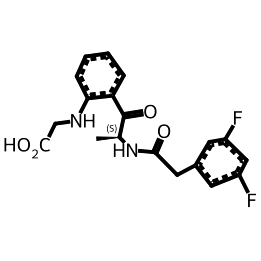 C[C@H](NC(=O)Cc1cc(F)cc(F)c1)C(=O)c1ccccc1NCC(=O)O